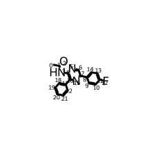 CC(=O)Nc1ncc(-c2ccc(F)cc2)nc1-c1ccccc1